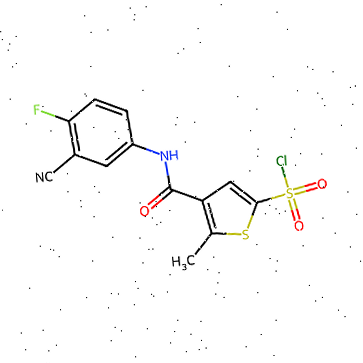 Cc1sc(S(=O)(=O)Cl)cc1C(=O)Nc1ccc(F)c(C#N)c1